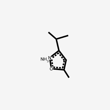 Cc1cc(C(C)C)no1.N